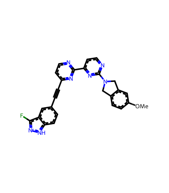 COc1ccc2c(c1)CN(c1nccc(-c3nccc(C#Cc4ccc5[nH]nc(F)c5c4)n3)n1)C2